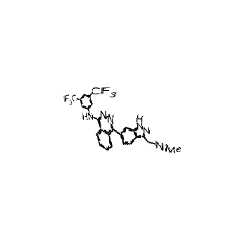 CNCc1n[nH]c2cc(-c3nnc(Nc4cc(C(F)(F)F)cc(C(F)(F)F)c4)c4ccccc34)ccc12